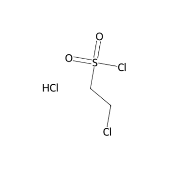 Cl.O=S(=O)(Cl)CCCl